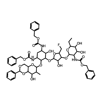 CCC1OC(OC2C(CF)OC(OC3C(O)C(NC(=O)OCc4ccccc4)CC(NC(=O)OCc4ccccc4)C3OC3OC4COC(c5ccccc5)OC4C(O)C3C)C2O)C(NC(=O)OCc2ccccc2)C(O)C1O